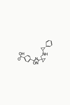 O=C(O)c1ccc(-c2nc(C3(CN[C@H]4C[C@@H]4c4ccccc4)CC3)no2)cc1